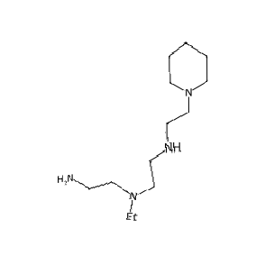 CCN(CCN)CCNCCN1CCCCC1